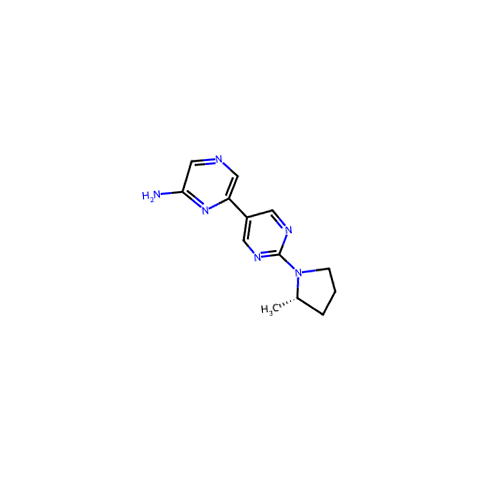 C[C@H]1CCCN1c1ncc(-c2cncc(N)n2)cn1